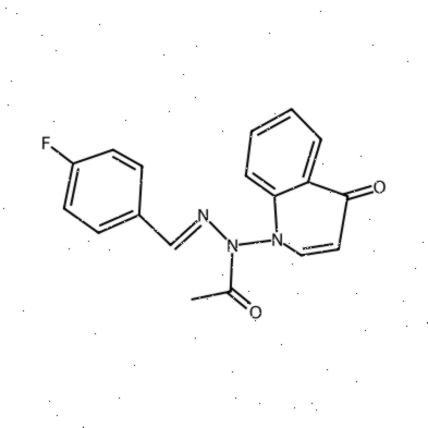 CC(=O)N(N=Cc1ccc(F)cc1)n1ccc(=O)c2ccccc21